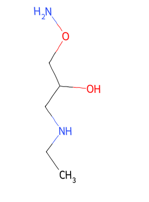 CCNCC(O)CON